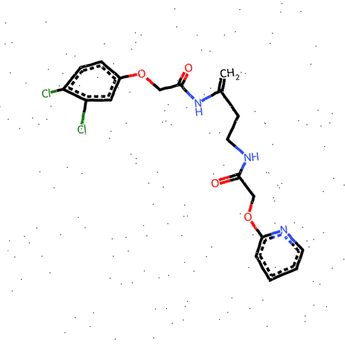 C=C(CCNC(=O)COc1ccccn1)NC(=O)COc1ccc(Cl)c(Cl)c1